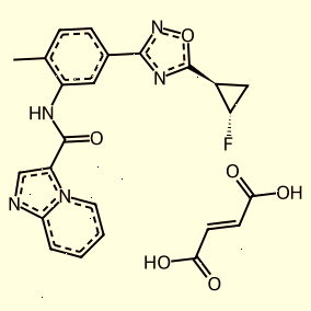 Cc1ccc(-c2noc([C@H]3C[C@@H]3F)n2)cc1NC(=O)c1cnc2ccccn12.O=C(O)/C=C/C(=O)O